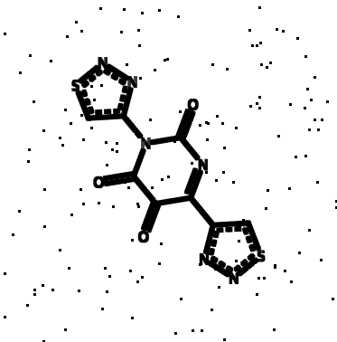 O=C1C(=O)N(c2csnn2)C(=O)N=C1c1csnn1